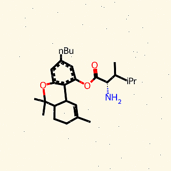 CCCCc1cc(OC(=O)[C@@H](N)C(C)C(C)C)c2c(c1)OC(C)(C)C1CCC(C)=CC21